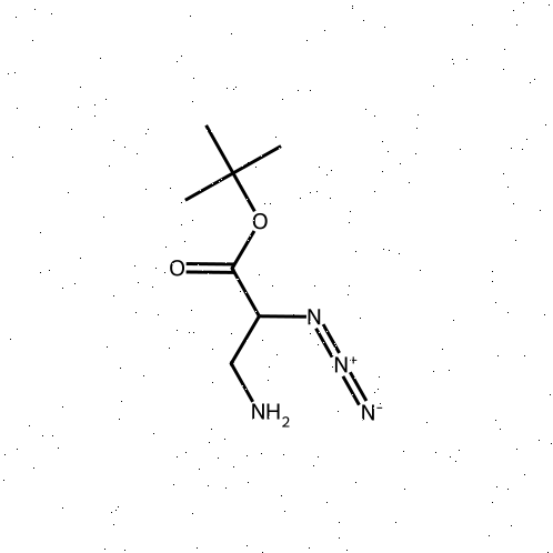 CC(C)(C)OC(=O)C(CN)N=[N+]=[N-]